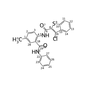 Cc1ccc(NC(=O)c2sc3ccccc3c2Cl)c(C(=O)Nc2ccccc2)c1